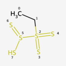 CCS(=S)(=S)S(=S)S